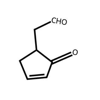 O=CCC1CC=CC1=O